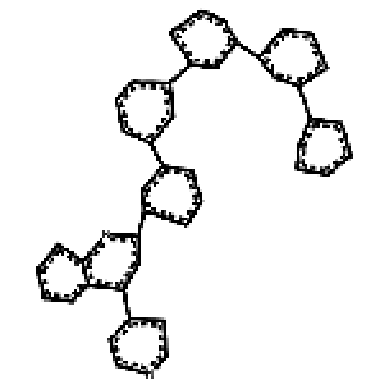 c1ccc(-c2cccc(-c3cccc(-c4cccc(-c5cccc(-c6cc(-c7ccncc7)c7ccccc7n6)c5)c4)c3)c2)cc1